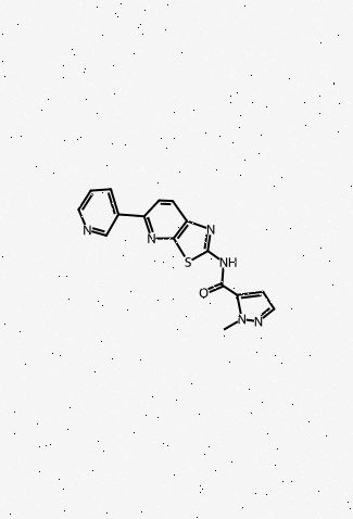 Cn1nccc1C(=O)Nc1nc2ccc(-c3cccnc3)nc2s1